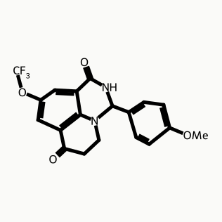 COc1ccc(C2NC(=O)c3cc(OC(F)(F)F)cc4c3N2CCC4=O)cc1